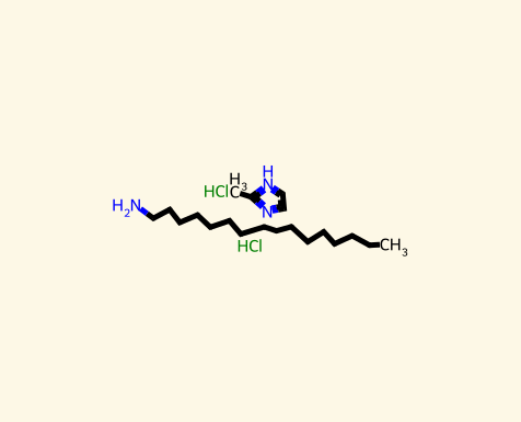 CCCCCCCCCCCCCCCCN.Cc1ncc[nH]1.Cl.Cl